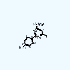 CNc1cc(C)nc(-c2ccc(Br)cc2)n1